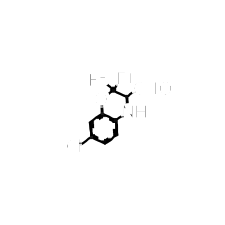 CCC1(CC)Oc2cc(Cl)ccc2NC1C=O